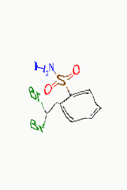 NS(=O)(=O)c1ccccc1C(Br)Br